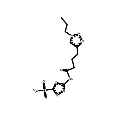 CCCn1cc(CCCC(=O)Nc2nnc(S(N)(=O)=O)s2)nn1